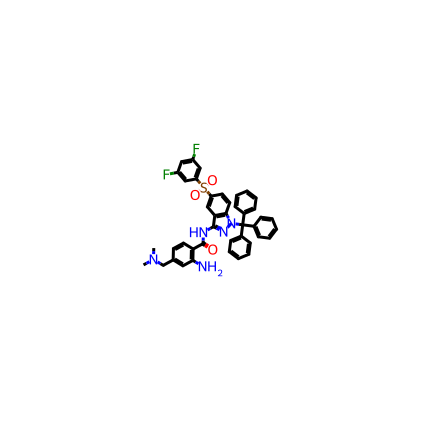 CN(C)Cc1ccc(C(=O)Nc2nn(C(c3ccccc3)(c3ccccc3)c3ccccc3)c3ccc(S(=O)(=O)c4cc(F)cc(F)c4)cc23)c(N)c1